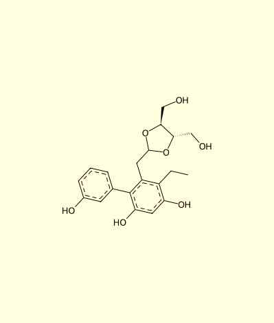 CCc1c(O)cc(O)c(-c2cccc(O)c2)c1CC1O[C@@H](CO)[C@H](CO)O1